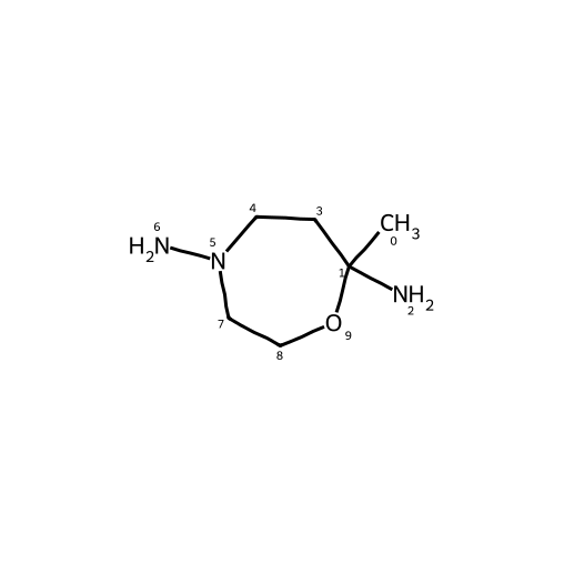 CC1(N)CCN(N)CCO1